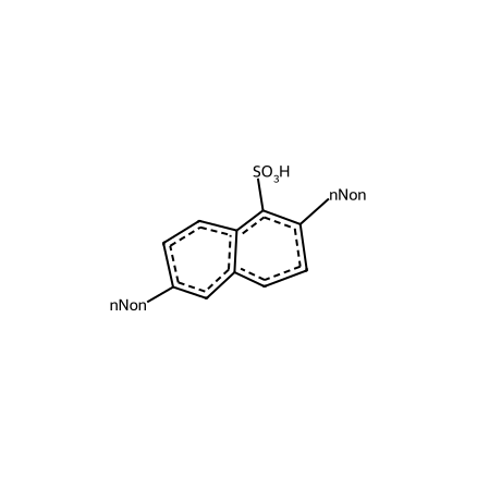 CCCCCCCCCc1ccc2c(S(=O)(=O)O)c(CCCCCCCCC)ccc2c1